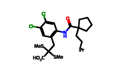 CSC(Cc1cc(Cl)c(Cl)cc1NC(=O)C1(CCC(C)C)CCCC1)(SC)C(=O)O